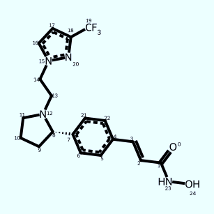 O=C(C=Cc1ccc([C@@H]2CCCN2CCn2ccc(C(F)(F)F)n2)cc1)NO